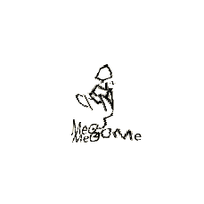 CO[Si](CCCN1C=[N+](C2CCCCC2)CC1)(OC)OC.[Cl-]